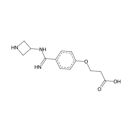 N=C(NC1CNC1)c1ccc(OCCC(=O)O)cc1